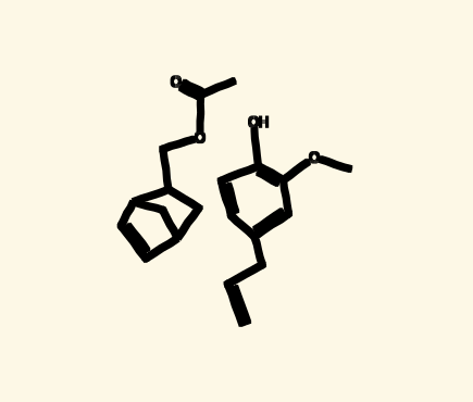 C=CCc1ccc(O)c(OC)c1.CC(=O)OCC1CC2C=CC1C2